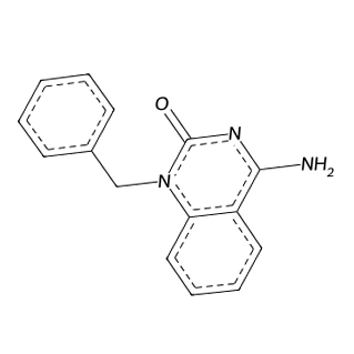 Nc1nc(=O)n(Cc2ccccc2)c2ccccc12